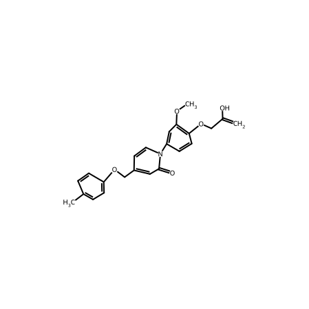 C=C(O)COc1ccc(-n2ccc(COc3ccc(C)cc3)cc2=O)cc1OC